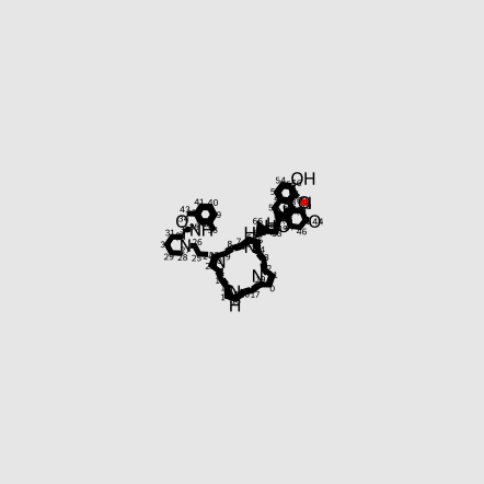 C1=Cc2cc3ccc(cc4nc(cc5ccc(cc1n2)[nH]5)C=C4)[nH]3.CCCN1CCCC[C@H]1C(=O)Nc1c(C)cccc1C.O=C1CC[C@@]2(O)[C@H]3Cc4ccc(O)c5c4[C@@]2(CCN3CC2CC2)[C@H]1O5